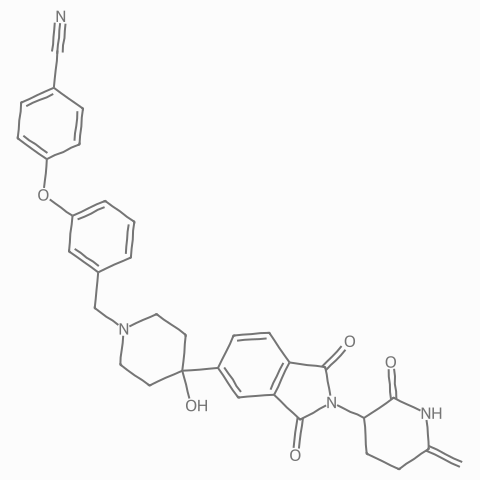 C=C1CCC(N2C(=O)c3ccc(C4(O)CCN(Cc5cccc(Oc6ccc(C#N)cc6)c5)CC4)cc3C2=O)C(=O)N1